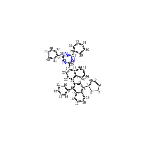 C1=CCCC(c2c3c(c(-c4ccccc4)c4ccccc24)-c2ccc(-c4nc(-c5ccccc5)nc(-c5ccccc5)n4)c4cccc-3c24)=C1